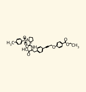 CCOC(=O)c1ccc(OCC#Cc2ccc(C[C@H](NC(=O)[C@@H]3CCCN3S(=O)(=O)c3ccc(C)cc3)C(=O)O)cc2)cc1